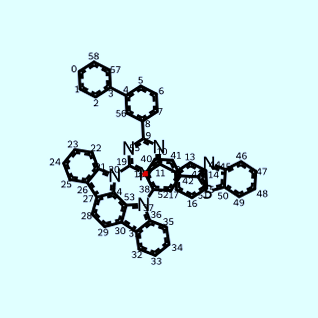 c1ccc(-c2cccc(-c3nc(-c4ccccc4)nc(-n4c5ccccc5c5ccc6c7ccccc7n(-c7cccc(-c8nc9ccccc9s8)c7)c6c54)n3)c2)cc1